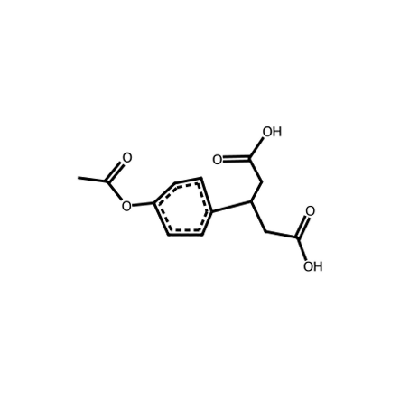 CC(=O)Oc1ccc(C(CC(=O)O)CC(=O)O)cc1